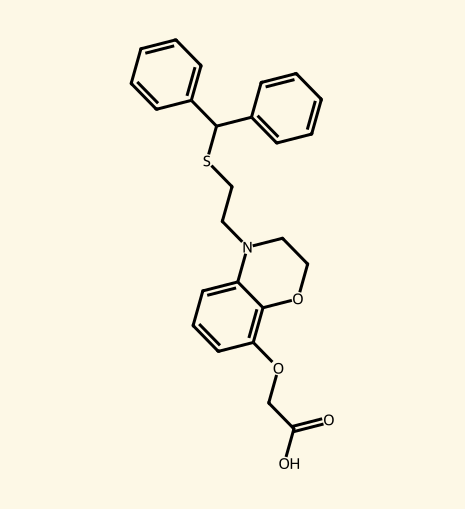 O=C(O)COc1cccc2c1OCCN2CCSC(c1ccccc1)c1ccccc1